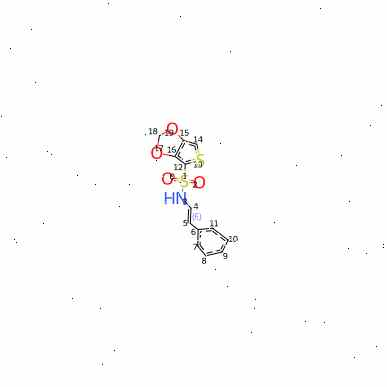 O=S(=O)(N/C=C/c1ccccc1)c1scc2c1OCO2